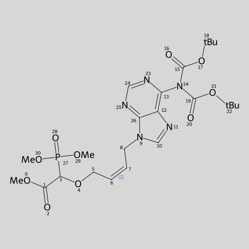 COC(=O)C(OC/C=C\Cn1cnc2c(N(C(=O)OC(C)(C)C)C(=O)OC(C)(C)C)ncnc21)P(=O)(OC)OC